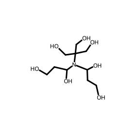 OCCC(O)N(C(O)CCO)C(CO)(CO)CO